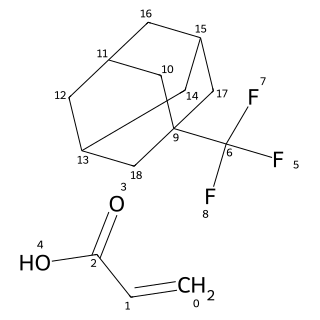 C=CC(=O)O.FC(F)(F)C12CC3CC(CC(C3)C1)C2